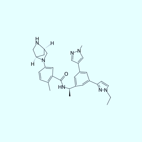 CCn1ccc(-c2cc(-c3cnn(C)c3)cc([C@@H](C)NC(=O)c3cc(N4C[C@H]5C[C@@H]4CN5)ccc3C)c2)n1